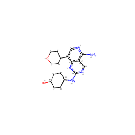 Nc1ncc(C2CCOCC2)c2nc(NC3CCC(O)CC3)ncc12